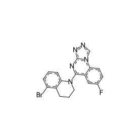 Fc1ccc2c(c1)c(N1CCCc3c(Br)cccc31)nc1nncn12